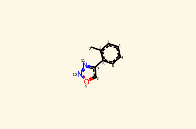 Cc1ccc[c]c1-c1conn1